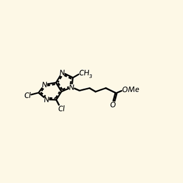 COC(=O)CCCCn1c(C)nc2nc(Cl)nc(Cl)c21